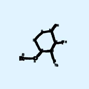 CCOC1CCC(C)C(F)C1F